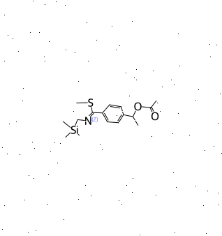 CS/C(=N\C[Si](C)(C)C)c1ccc(C(C)OC(C)=O)cc1